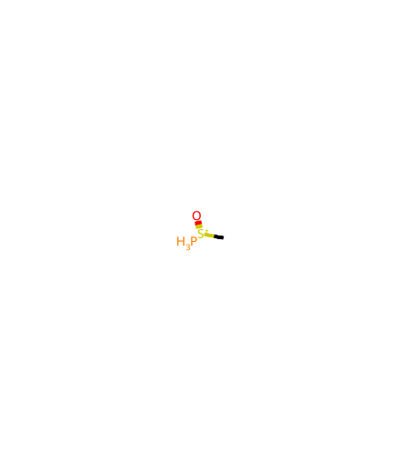 C[S+]=O.P